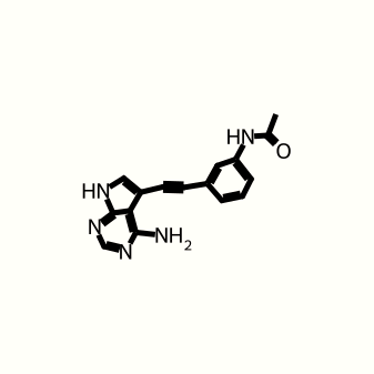 CC(=O)Nc1cccc(C#Cc2c[nH]c3ncnc(N)c23)c1